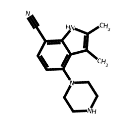 Cc1[nH]c2c(C#N)ccc(N3CCNCC3)c2c1C